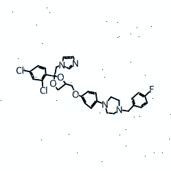 Fc1ccc(CN2CCN(c3ccc(OCC4COC(Cn5ccnc5)(c5ccc(Cl)cc5Cl)O4)cc3)CC2)cc1